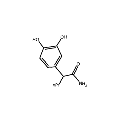 CCCC(C(N)=O)c1ccc(O)c(O)c1